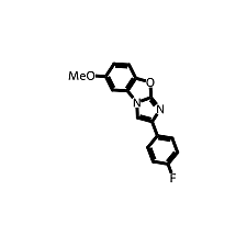 COc1ccc2oc3nc(-c4ccc(F)cc4)cn3c2c1